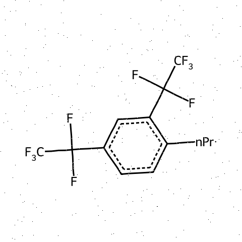 CC[CH]c1ccc(C(F)(F)C(F)(F)F)cc1C(F)(F)C(F)(F)F